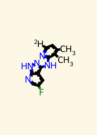 [2H]c1cc(C)c(C)c(Nc2n[nH]c3ncc(F)cc23)n1